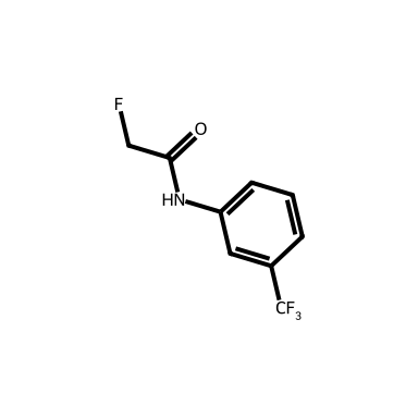 O=C(CF)Nc1cccc(C(F)(F)F)c1